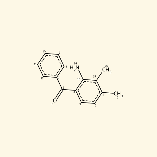 Cc1ccc(C(=O)c2ccccc2)c(N)c1C